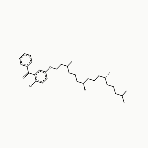 CC(C)CCC[C@@H](C)CCC[C@@H](C)CCCC(C)CCOc1ccc(Cl)c(C(=O)c2ccccc2)c1